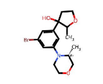 CC1OCCC1(O)c1cc(Br)cc(N2CCOC[C@H]2C)c1